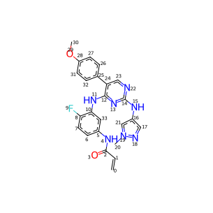 C=CC(=O)Nc1ccc(F)c(Nc2nc(Nc3cnn(C)c3)ncc2-c2ccc(OC)cc2)c1